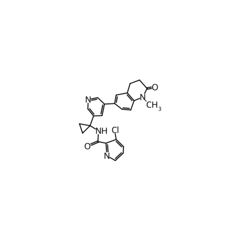 CN1C(=O)CCc2cc(-c3cncc(C4(NC(=O)c5ncccc5Cl)CC4)c3)ccc21